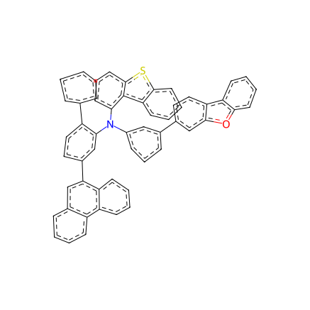 c1ccc(-c2ccc(-c3cc4ccccc4c4ccccc34)cc2N(c2cccc(-c3ccc4c(c3)oc3ccccc34)c2)c2cccc3sc4ccccc4c23)cc1